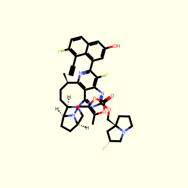 C#Cc1c(F)ccc2cc(O)cc(-c3nc4c5c(nc(OC[C@@]67CCCN6C[C@H](F)C7)nc5c3F)N3C[C@H]5CC[C@@H]([C@H]3CC[C@H]4C)N5Cc3oc(=O)oc3C)c12